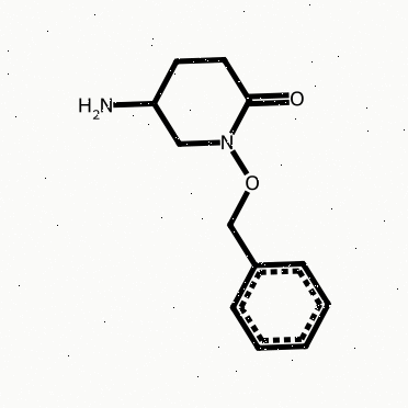 NC1CCC(=O)N(OCc2ccccc2)C1